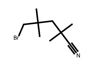 CC(C)(C#N)CC(C)(C)CBr